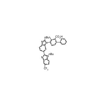 CCCCc1nc2ccc(-c3nc4cc(C(F)(F)F)ccc4n3CCCC)cc2n1-c1ccc(-c2ccccc2)c(C(=O)O)c1C